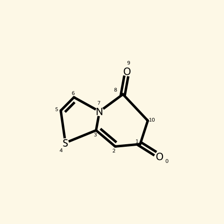 O=C1C=C2SC=CN2C(=O)C1